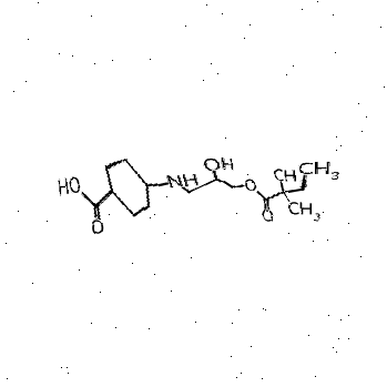 CCC(C)(C)C(=O)OCC(O)CNC1CCC(C(=O)O)CC1